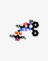 Cc1noc(C)c1S(=O)(=O)CNC(C)C(=O)NC1N=C(c2ccccc2)c2ccccc2N(C)C1=O